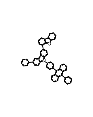 c1ccc(-c2ccc3c(c2)c2cc(-c4cccc5c4oc4ccccc45)ccc2n3-c2ccc(-c3c4ccccc4c(-c4ccccc4)c4ccccc34)cc2)cc1